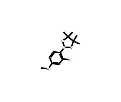 COc1ccc(B2OC(C)(C)C(C)(C)O2)c(Cl)c1